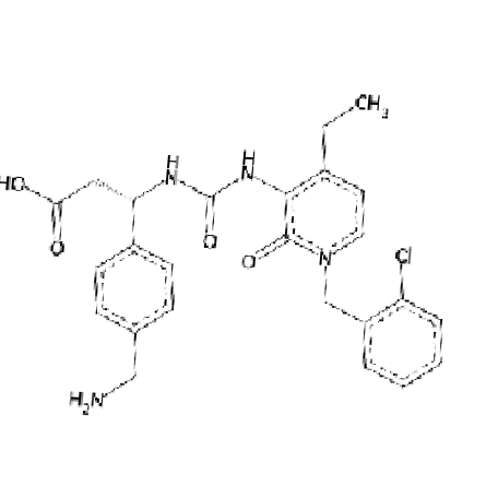 CCc1ccn(Cc2ccccc2Cl)c(=O)c1NC(=O)N[C@@H](CC(=O)O)c1ccc(CN)cc1